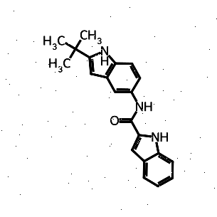 CC(C)(C)c1cc2cc(NC(=O)c3cc4ccccc4[nH]3)ccc2[nH]1